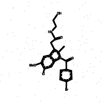 COc1cc2c(CC(=O)NCCO)c(C)n(C(=O)c3ccc(Br)cc3)c2cc1Cl